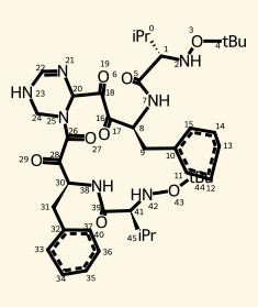 CC(C)[C@H](NOC(C)(C)C)C(=O)N[C@@H](Cc1ccccc1)C(=O)C(=O)C1N=CNCN1C(=O)C(=O)[C@H](Cc1ccccc1)NC(=O)[C@@H](NOC(C)(C)C)C(C)C